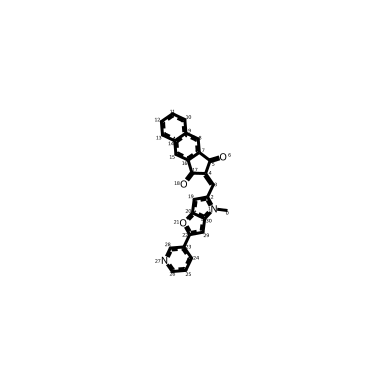 Cn1c(C=C2C(=O)c3cc4ccccc4cc3C2=O)cc2oc(-c3cccnc3)cc21